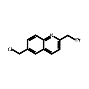 CC(C)Cc1ccc2cc(CCl)ccc2n1